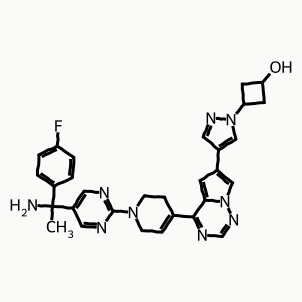 CC(N)(c1ccc(F)cc1)c1cnc(N2CC=C(c3ncnn4cc(-c5cnn(C6CC(O)C6)c5)cc34)CC2)nc1